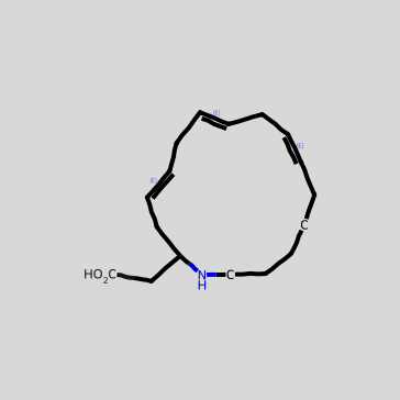 O=C(O)CC1C/C=C/C/C=C/C/C=C/CCCCCN1